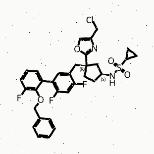 O=S(=O)(N[C@H]1CC[C@](Cc2cc(-c3cccc(F)c3OCc3ccccc3)c(F)cc2F)(c2nc(CCl)co2)C1)C1CC1